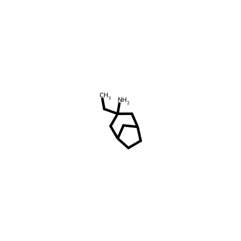 CCC1(N)CC2CCC(C2)C1